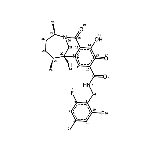 Cc1cc(F)c(CNC(=O)c2cn3c(c(O)c2=O)C(=O)N2C[C@H]3[C@@H](C)CC[C@H]2C)c(F)c1